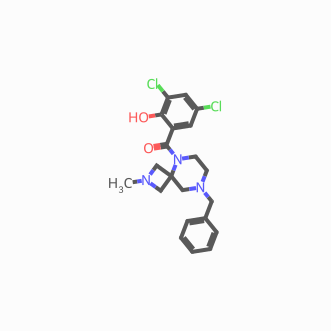 CN1CC2(C1)CN(Cc1ccccc1)CCN2C(=O)c1cc(Cl)cc(Cl)c1O